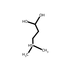 C[SiH](C)CCC(O)O